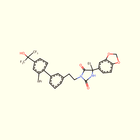 CCCc1cc(C(O)(C(F)(F)F)C(F)(F)F)ccc1-c1cccc(CCN2C(=O)NC(CC)(c3ccc4c(c3)OCO4)C2=O)c1